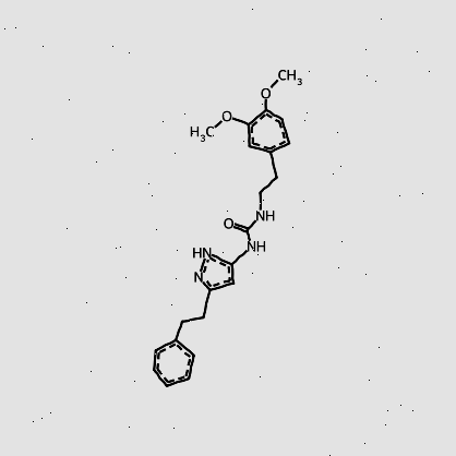 COc1ccc(CCNC(=O)Nc2cc(CCc3ccccc3)n[nH]2)cc1OC